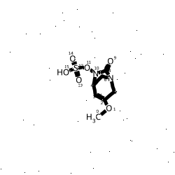 COC1=CC2CN(C1)C(=O)N2OS(=O)(=O)O